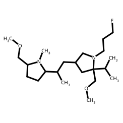 COCC1CCC(C(C)CC2CN(CCCF)C(COC)(C(C)C)C2)N1C